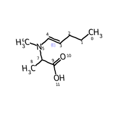 CCC/C=C/N(C)C(C)C(=O)O